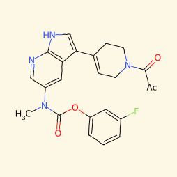 CC(=O)C(=O)N1CC=C(c2c[nH]c3ncc(N(C)C(=O)Oc4cccc(F)c4)cc23)CC1